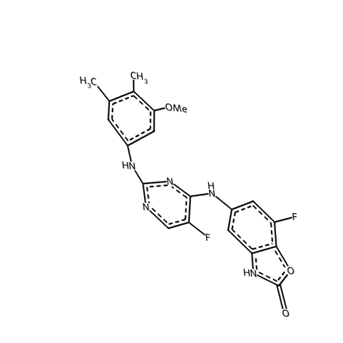 COc1cc(Nc2ncc(F)c(Nc3cc(F)c4oc(=O)[nH]c4c3)n2)cc(C)c1C